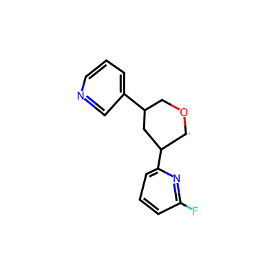 Fc1cccc(C2[CH]OCC(c3cccnc3)C2)n1